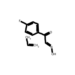 C=CC.O=C(C=NO)c1ccc(F)cc1